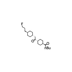 CCCCC(=O)[C@H]1CC[C@H](C(=O)C[C@H]2CC[C@H](CCCF)CC2)CC1